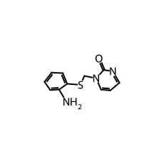 Nc1ccccc1SCn1cccnc1=O